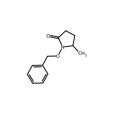 CC1CCC(=O)N1OCc1ccccc1